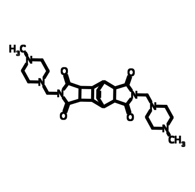 CN1CCN(CN2C(=O)C3C4C=CC(C3C2=O)C2C3C(=O)N(CN5CCN(C)CC5)C(=O)C3C42)CC1